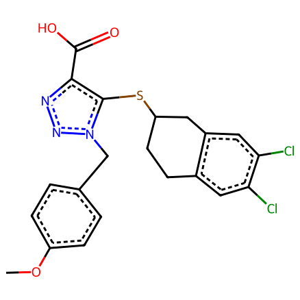 COc1ccc(Cn2nnc(C(=O)O)c2SC2CCc3cc(Cl)c(Cl)cc3C2)cc1